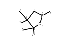 CB1CC(C)(C)C(C)(C)O1